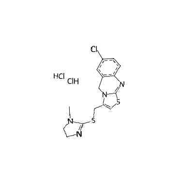 CN1CCN=C1SCC1=CSC2=Nc3ccc(Cl)cc3CN12.Cl.Cl